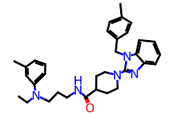 CCN(CCCNC(=O)C1CCN(c2nc3ccccc3n2Cc2ccc(C)cc2)CC1)c1cccc(C)c1